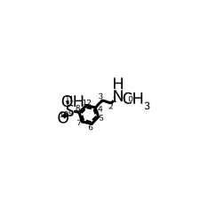 CNCCc1cccc(S(=O)O)c1